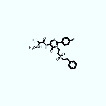 CNC(C)C(=O)Nc1cnc(-c2ccc(F)cc2)n(CCS(=O)(=O)CCc2ccccc2)c1=O